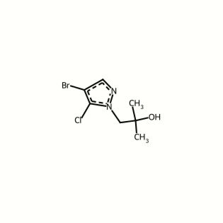 CC(C)(O)Cn1ncc(Br)c1Cl